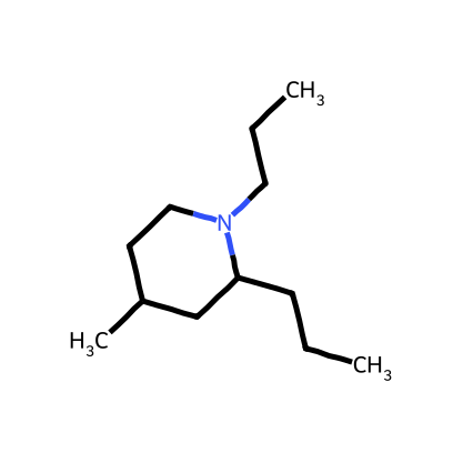 CCCC1CC(C)CCN1CCC